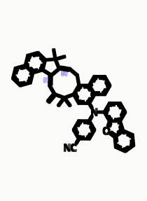 C=C1/C=C2\C(=C/Cc3c(cc(N(c4ccc(C#N)cc4)c4cccc5c4oc4ccccc45)c4ccccc34)C1(C)C)C(C)(C)c1ccc3ccccc3c12